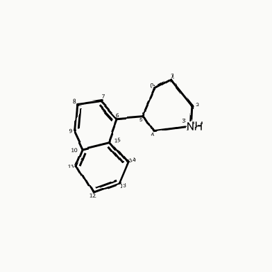 [CH]1CCNCC1c1cccc2ccccc12